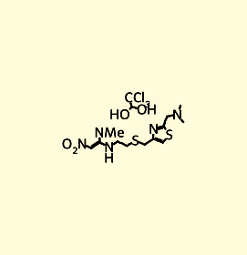 CN/C(=C\[N+](=O)[O-])NCCSCc1csc(CN(C)C)n1.OC(O)C(Cl)(Cl)Cl